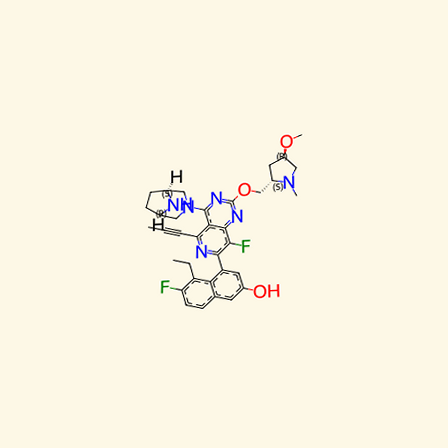 CC#Cc1nc(-c2cc(O)cc3ccc(F)c(CC)c23)c(F)c2nc(OC[C@@H]3C[C@@H](OC)CN3C)nc(N3C[C@H]4CC[C@@H](C3)N4)c12